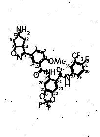 COc1ccc(C2=NOC3CC(N)CC23)cc1C(=O)Nc1cc2c(cc1C(=O)Nc1ccc(F)c(C(F)(F)F)c1)OC(F)(F)O2